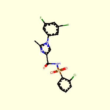 Cc1nc(C(=O)NS(=O)(=O)c2ccccc2Cl)cn1-c1cc(F)cc(F)c1